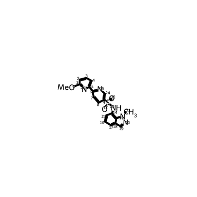 COc1cccc(-c2ccc(S(=O)(=O)Nc3cccc4cnn(C)c34)cn2)n1